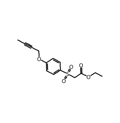 CC#CCOc1ccc(S(=O)(=O)CC(=O)OCC)cc1